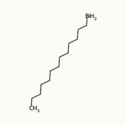 CCCCCCCCCCCC[CH2][BiH2]